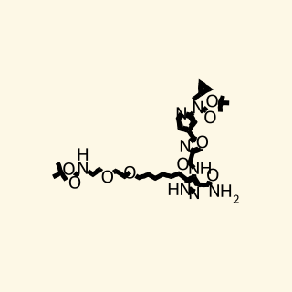 CC(C)(C)OC(=O)NCCOCCOCCCCCCc1[nH]nc(C(N)=O)c1NC(=O)c1coc(-c2ccnc(N(CC3CC3)C(=O)OC(C)(C)C)c2)n1